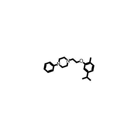 Cc1ccc(C(C)C)cc1OCCN1CCN(c2ccccc2)CC1